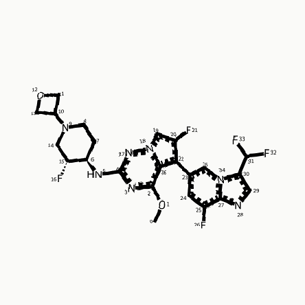 COc1nc(N[C@@H]2CCN(C3COC3)C[C@H]2F)nn2cc(F)c(-c3cc(F)c4ncc(C(F)F)n4c3)c12